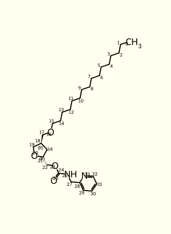 CCCCCCCCCCCCCCCCOC[C@@H]1CO[C@@H](COC(=O)NCc2ccccn2)C1